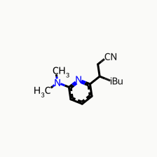 CCC(C)C(CC#N)c1cccc(N(C)C)n1